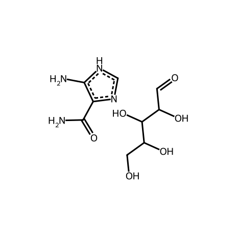 NC(=O)c1nc[nH]c1N.O=CC(O)C(O)C(O)CO